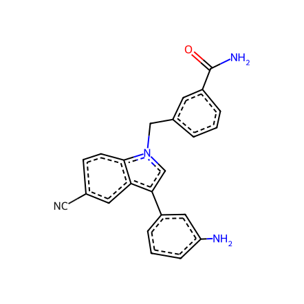 N#Cc1ccc2c(c1)c(-c1cccc(N)c1)cn2Cc1cccc(C(N)=O)c1